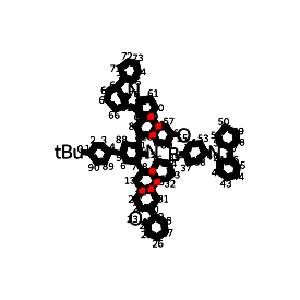 CC(C)(C)c1ccc(-c2cc(-c3ccccc3)c(N3c4cc(-c5ccc6oc7ccccc7c6c5)ccc4B4c5ccc(-n6c7ccccc7c7ccccc76)cc5Oc5cc(-c6ccc7c(c6)c6cccc8c9ccccc9n7c86)cc3c54)c(-c3ccccc3)c2)cc1